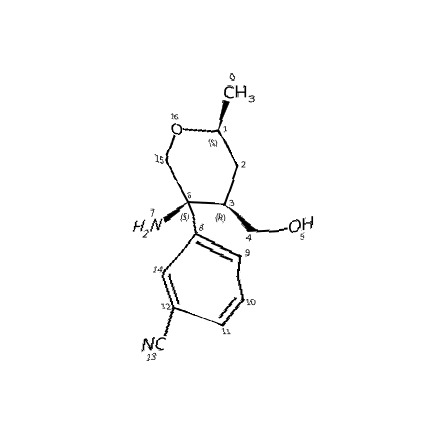 C[C@H]1C[C@@H](CO)[C@](N)(c2cccc(C#N)c2)CO1